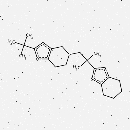 CC(C)(C)c1cc2c(o1)CCC(CC(C)(C)c1cc3c(s1)CCCC3)C2